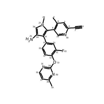 C#Cc1cc(C)c(-c2c(-c3ccc(Oc4nccc(C)n4)c(F)c3)c(N)cn2C)cn1